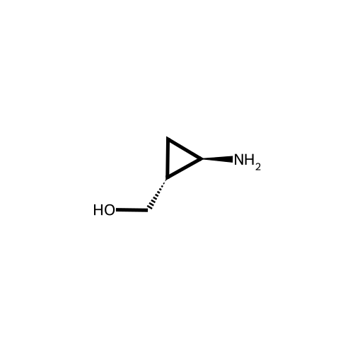 N[C@@H]1C[C@H]1CO